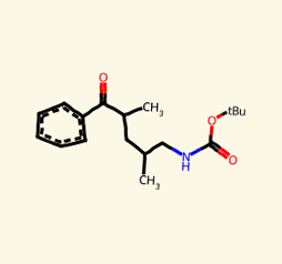 CC(CNC(=O)OC(C)(C)C)CC(C)C(=O)c1ccccc1